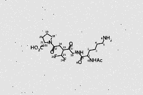 CC(=O)NC(CCCCN)C(=O)NCC(=O)C(CC(=O)N1CCC[C@H]1C(=O)O)C(F)F